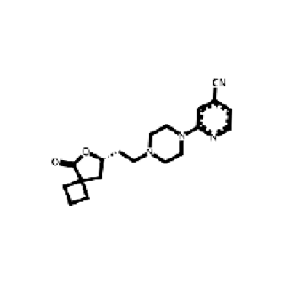 N#Cc1ccnc(N2CCN(CC[C@@H]3CC4(CCC4)C(=O)O3)CC2)c1